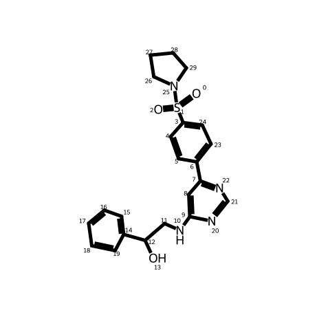 O=S(=O)(c1ccc(-c2cc(NCC(O)c3ccccc3)ncn2)cc1)N1CCCC1